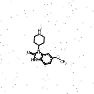 O=c1[nH]c2ccc(OC(F)(F)F)cc2n1C1CCNCC1